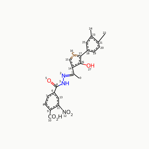 C/C(=N\NC(=O)c1ccc(C(=O)O)c([N+](=O)[O-])c1)c1csc(-c2ccc(C)c(C)c2)c1O